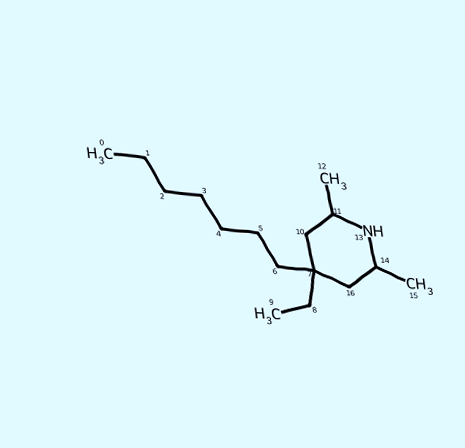 CCCCCCCC1(CC)CC(C)NC(C)C1